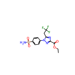 CCOC(=O)c1nc(CC(F)(F)F)n(-c2ccc(S(N)(=O)=O)cc2)n1